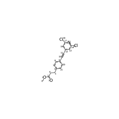 COC(=O)CCc1ccc(C#Cc2cc(Cl)nc(Cl)c2)cc1